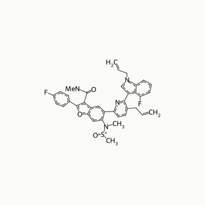 C=CCc1ccc(-c2cc3c(C(=O)NC)c(-c4ccc(F)cc4)oc3cc2N(C)[S+](C)[O-])nc1-c1cn(CC=C)c2cccc(F)c12